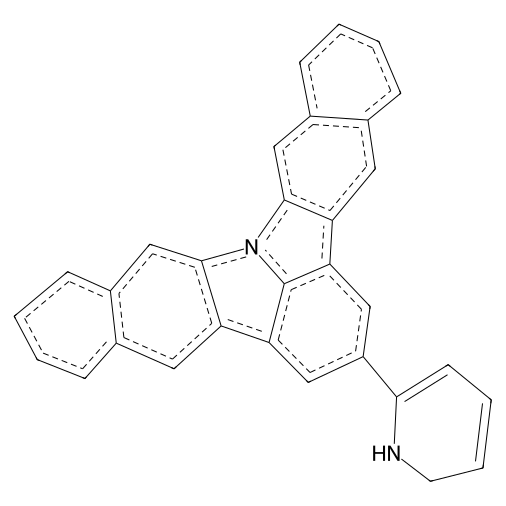 C1=CCNC(c2cc3c4cc5ccccc5cc4n4c5cc6ccccc6cc5c(c2)c34)=C1